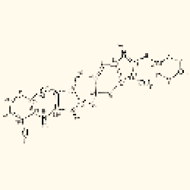 Cn1c(CN2CCOCC2)nc2ccc(C=C3SC(Nc4c(Cl)cccc4Cl)=NC3=O)cc21